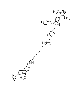 CCn1c2ccc(CNCCCCCCCCCCNC(=O)COc3ccc(CCc4nc5cc(-c6c(C)noc6C)ccc5n4CCN4CCOCC4)cc3F)cc2c2ccc(-c3cscn3)cc21